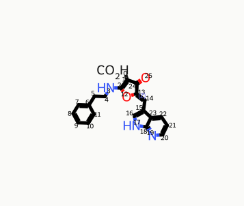 O=C(O)C1=C(NCCc2ccccc2)O/C(=C\c2c[nH]c3ncccc23)C1=O